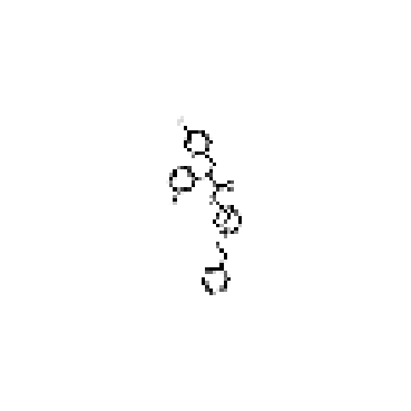 Cc1cccc(N(Cc2ccc(F)cc2)C(=O)OC2C[N+]3(CCc4ccccc4)CCC2CC3)c1